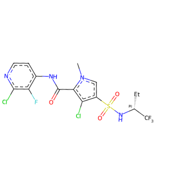 CC[C@@H](NS(=O)(=O)c1cn(C)c(C(=O)Nc2ccnc(Cl)c2F)c1Cl)C(F)(F)F